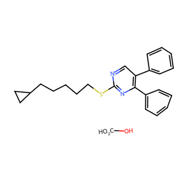 O=C(O)O.c1ccc(-c2cnc(SCCCCCC3CC3)nc2-c2ccccc2)cc1